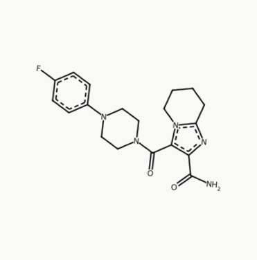 NC(=O)c1nc2n(c1C(=O)N1CCN(c3ccc(F)cc3)CC1)CCCC2